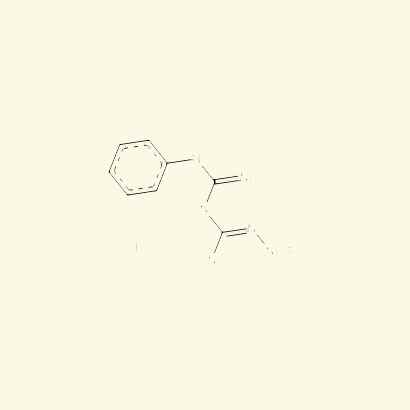 CC(=O)NN=C(N)NC(=N)Nc1ccccc1.Cl